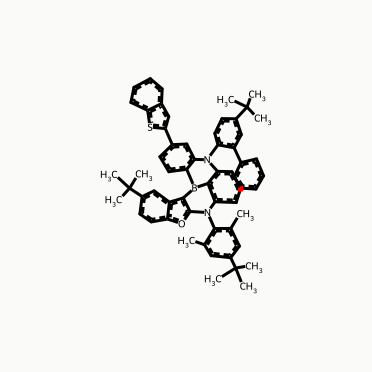 Cc1cc(C(C)(C)C)cc(C)c1N1c2cccc3c2B(c2ccc(-c4cc5ccccc5s4)cc2N3c2ccc(C(C)(C)C)cc2-c2ccccc2)c2c1oc1ccc(C(C)(C)C)cc21